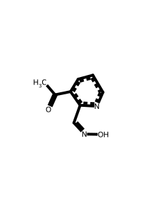 CC(=O)c1cccnc1/C=N\O